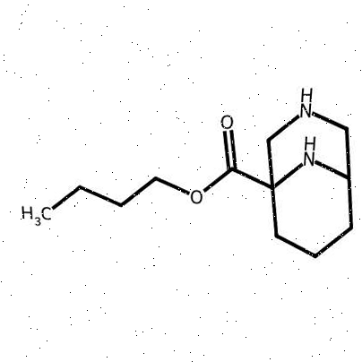 CCCCOC(=O)C12CCCC(CNC1)N2